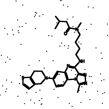 Cc1nnc2c(NCCCCN(C)C(=O)CC(C)C)nc3cc(N4CCc5sccc5C4)ccc3n12